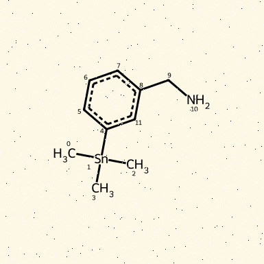 [CH3][Sn]([CH3])([CH3])[c]1cccc(CN)c1